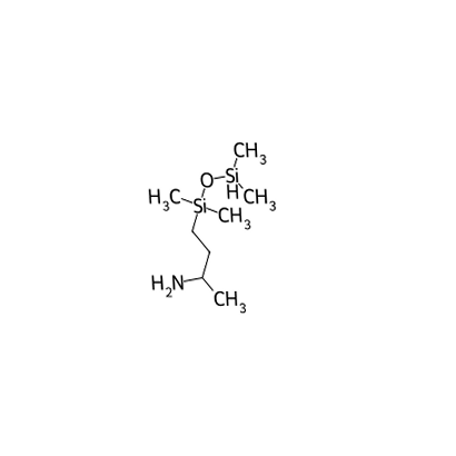 CC(N)CC[Si](C)(C)O[SiH](C)C